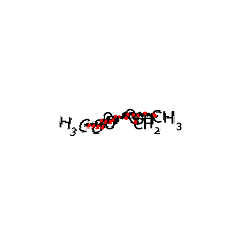 C=CC(O)OC(CCCCCCCCCC)Oc1ccc(CCc2ccc(OC(=O)c3ccc(OCCCCCC)cc3)cc2)cc1